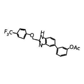 CC(=O)Oc1cccc(-c2ccc3[nH]c(COc4ccc(C(F)(F)F)cc4)nc3c2)c1